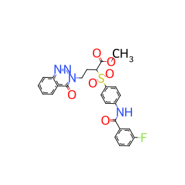 COC(=O)C(CCn1nnc2ccccc2c1=O)S(=O)(=O)c1ccc(NC(=O)c2cccc(F)c2)cc1